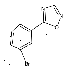 Brc1cccc(-c2ncno2)c1